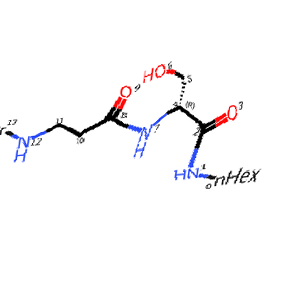 CCCCCCNC(=O)[C@@H](CO)NC(=O)CCNC(C)C